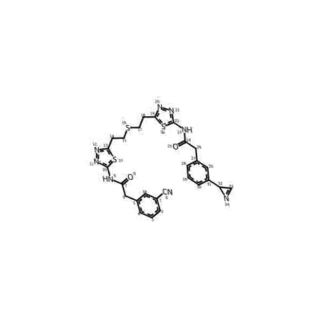 N#Cc1cccc(CC(=O)Nc2nnc(CCSCCc3nnc(NC(=O)Cc4cccc(C5C=N5)c4)s3)s2)c1